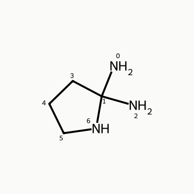 NC1(N)CCCN1